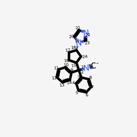 [C-]#[N+]C(c1ccccc1)(c1ccccc1)C1CC[C@@H](n2ccnc2)C1